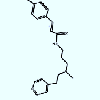 CN(CCCNC(=O)/C=C/c1ccc(F)cc1)CCc1ccncc1